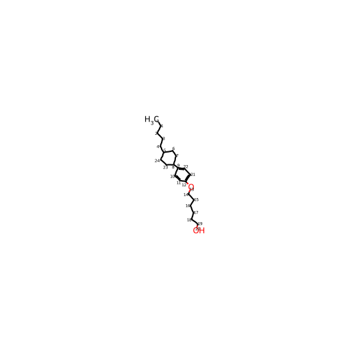 CCCCCC1CCC(c2ccc(OCCCCCCO)cc2)CC1